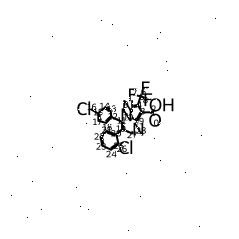 O=C(O)c1c(C(F)(F)F)nn2c(-c3ccc(Cl)cc3)c(-c3ccccc3Cl)cnc12